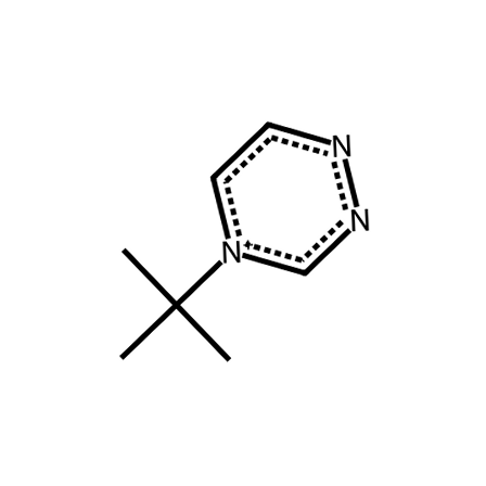 CC(C)(C)[n+]1ccnnc1